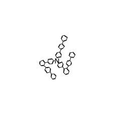 c1ccc(-c2ccc(-c3ccc(N(c4ccc(-c5ccccc5-c5ccc(-c6ccccc6)cc5)cc4)c4ccc(-c5ccccc5-c5ccc(-c6ccccc6)cc5)cc4)cc3)cc2)cc1